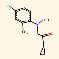 Cc1cc(Br)ccc1N(C=O)CC(=O)C1CC1